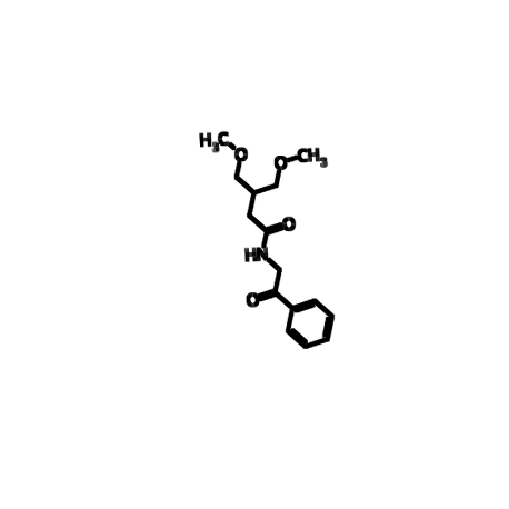 COCC(COC)CC(=O)NCC(=O)c1ccccc1